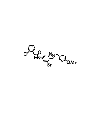 COc1ccc(Cn2cc3c(Br)cc(NC(=O)Cc4ccccc4Cl)cc3n2)cc1